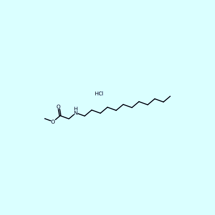 CCCCCCCCCCCCNCC(=O)OC.Cl